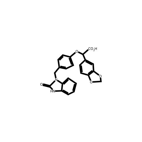 O=C(O)C(Oc1ccc(Cn2c(=O)[nH]c3ccccc32)cc1)c1ccc2c(c1)OCO2